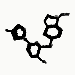 CC(=O)N[C@H]1CCc2cc(Nc3nc(-n4cc(C)cn4)ccc3[N+](=O)[O-])ccc21